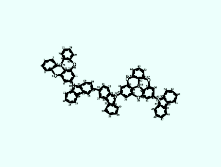 c1ccc2c(c1)Oc1cc(-n3c4ccccc4c4cc(-c5ccc6c(c5)c5ccccc5n6-c5cc6c7c(c5)Oc5cc(-n8c9ccccc9c9ccccc98)cc8c5B7c5c(cccc5O6)O8)ccc43)cc3c1B2c1ccccc1O3